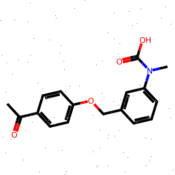 CC(=O)c1ccc(OCc2cccc(N(C)C(=O)O)c2)cc1